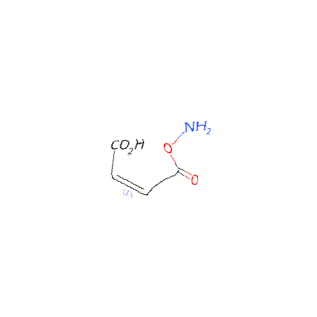 NOC(=O)/C=C\C(=O)O